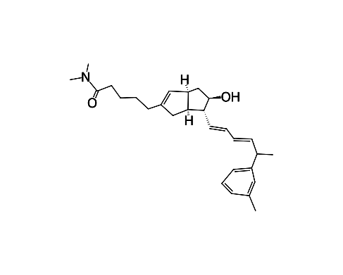 Cc1cccc(C(C)/C=C/C=C/[C@@H]2[C@H]3CC(CCCCC(=O)N(C)C)=C[C@H]3C[C@H]2O)c1